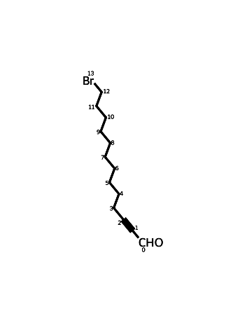 O=CC#CCCCCCCCCCCBr